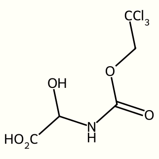 O=C(NC(O)C(=O)O)OCC(Cl)(Cl)Cl